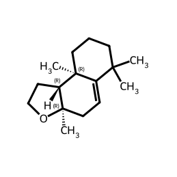 CC1(C)CCC[C@@]2(C)C1=CC[C@@]1(C)OCC[C@@H]12